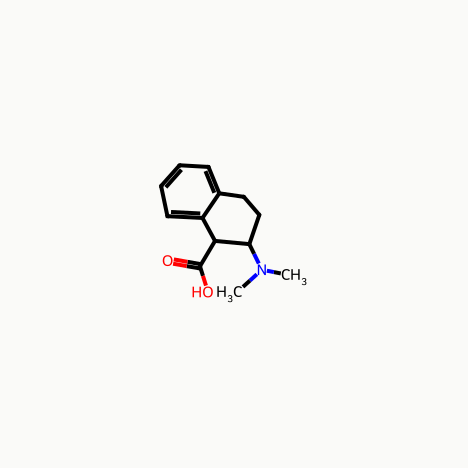 CN(C)C1CCc2ccccc2C1C(=O)O